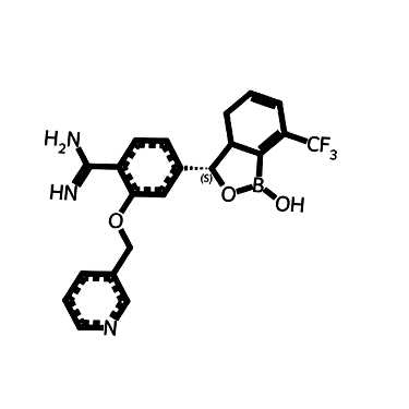 N=C(N)c1ccc([C@H]2OB(O)C3=C(C(F)(F)F)C=CCC32)cc1OCc1cccnc1